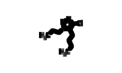 CCCCc1c(Cl)nnn1CCC